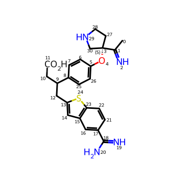 CC(=N)[C@]1(Oc2ccc(C(CC(=O)O)Cc3cc4cc(C(=N)N)ccc4s3)cc2)CCNC1